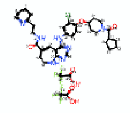 O=C(NCCc1ccccn1)C1=Cc2c(ncnc2Nc2ccc(OC3CCN(C(=O)C4CCCC4)CC3)c(Cl)c2)NCC1.O=C(O)C(F)(F)F.O=C(O)C(F)(F)F